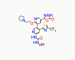 CCCNC(=O)Nc1cc(-c2nc(C(F)(F)F)cs2)c(-c2cc(-c3n[nH]c(=O)o3)cnc2OCCN2CCCC2)cn1